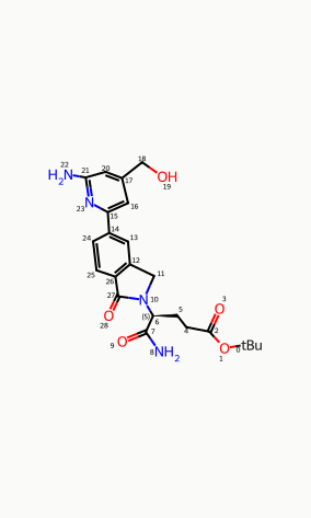 CC(C)(C)OC(=O)CC[C@@H](C(N)=O)N1Cc2cc(-c3cc(CO)cc(N)n3)ccc2C1=O